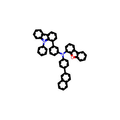 c1ccc(-n2c3ccccc3c3cccc(-c4cccc(N(c5ccc(-c6ccc7ccccc7c6)cc5)c5cccc6c5oc5ccccc56)c4)c32)cc1